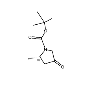 C[C@H]1CC(=O)CN1C(=O)OC(C)(C)C